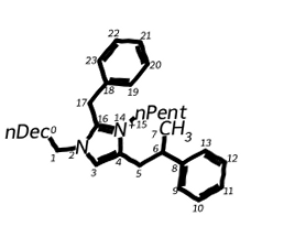 CCCCCCCCCCCn1cc(CC(C)c2ccccc2)[n+](CCCCC)c1Cc1ccccc1